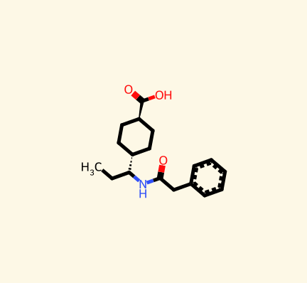 CCC(NC(=O)Cc1ccccc1)[C@H]1CC[C@H](C(=O)O)CC1